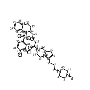 CN1CCN(CCCc2ccc3n2CCN(C(=O)COCC2CCc4ccccc4N2S(=O)(=O)c2ccc(Cl)c(Cl)c2)C3)CC1